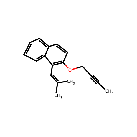 CC#CCOc1ccc2ccccc2c1C=C(C)C